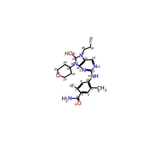 Cc1cc(C(N)=O)c(F)cc1Nc1ncc2c(n1)N(C1CCOCC1)C(O)N2CCF